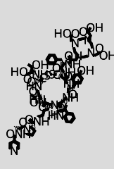 CC(O)[C@H](NC(=O)[C@@H]1CSSC[C@H](NC(=O)[C@@H](Cc2ccccc2)NC(=O)CN2CCN(CC(=O)O)CCN(CC(=O)O)CCN(CC(=O)O)CC2)C(=O)N[C@@H](Cc2ccc(O)cc2)C(=O)N[C@H](Cc2c[nH]c3ccccc23)C(=O)N[C@@H](CCCCNC(=O)[C@@H]2CCCN2C(=O)[C@@H](C)NC(=O)c2ccncc2)C(=O)N[C@@H](C(C)O)C(=O)N1)C(=O)O